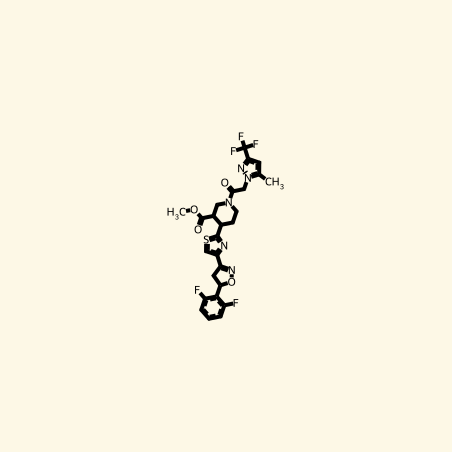 COC(=O)C1CN(C(=O)Cn2nc(C(F)(F)F)cc2C)CCC1c1nc(C2=NOC(c3c(F)cccc3F)C2)cs1